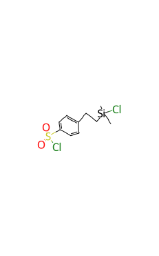 C[Si](C)(Cl)CCc1ccc(S(=O)(=O)Cl)cc1